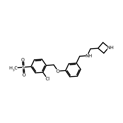 CS(=O)(=O)c1ccc(COc2cccc(CNCC3CNC3)c2)c(Cl)c1